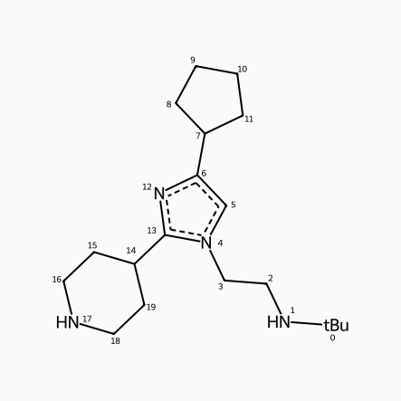 CC(C)(C)NCCn1cc(C2CCCC2)nc1C1CCNCC1